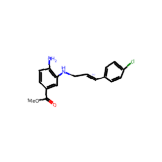 COC(=O)c1ccc(N)c(NC/C=C/c2ccc(Cl)cc2)c1